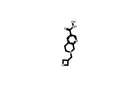 O=C(NO)c1cnc2c(c1)CCN(CC1COC1)C2